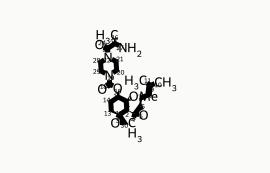 CO[C@H]1[C@H](C2(C)O[C@@H]2CC=C(C)C)[C@]2(CC[C@H]1OC(=O)N1CCN(C(=O)[C@H](C)N)CC1)CO2